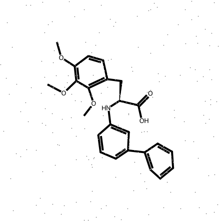 COc1ccc(C[C@H](Nc2cccc(-c3ccccc3)c2)C(=O)O)c(OC)c1OC